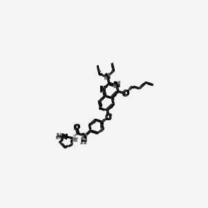 CCCCOc1nc(N(CC)CC)nc2ccc(Oc3ccc(NC(=O)[C@@H]4CCCN4)cc3)cc12